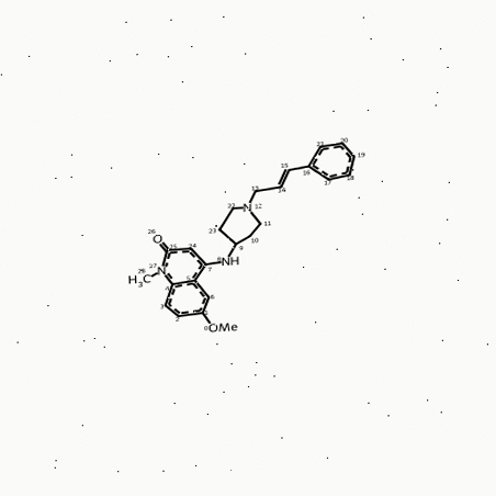 COc1ccc2c(c1)c(NC1CCN(CC=Cc3ccccc3)CC1)cc(=O)n2C